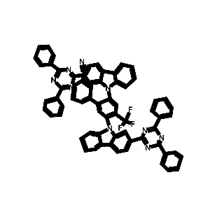 N#Cc1cccc(-c2cc(-n3c4ccccc4c4ccc(-c5nc(-c6ccccc6)nc(-c6ccccc6)n5)cc43)c(C(F)(F)F)cc2-n2c3ccccc3c3ccc(-c4nc(-c5ccccc5)nc(-c5ccccc5)n4)cc32)c1